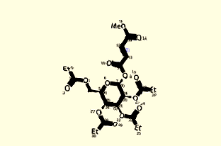 CCC(=O)OC[C@H]1O[C@H](OC(=O)/C=C/C(=O)OC)[C@H](OC(=O)CC)[C@@H](OC(=O)CC)[C@@H]1OC(=O)CC